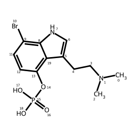 CN(C)CCc1c[nH]c2c(Br)ccc(OP(=O)(O)O)c12